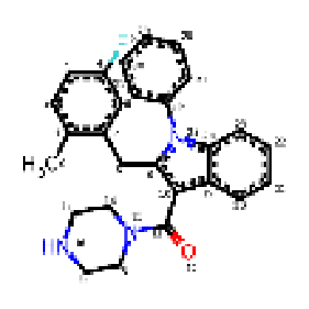 Cc1ccc(F)cc1Cc1c(C(=O)N2CCNCC2)c2ccccc2n1-c1ccccc1